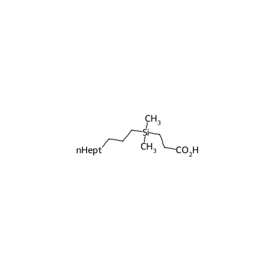 CCCCCCCCCC[Si](C)(C)CCC(=O)O